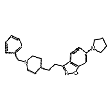 c1ccc(CN2CCC(CCc3noc4cc(N5CCCC5)ccc34)CC2)cc1